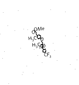 COC(=O)CCc1ccc(OCCc2oc(-c3ccc(C(F)(F)F)cc3)nc2C)cc1C